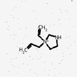 C=CC[N+]1(C=C)CCNC1